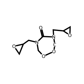 O=C1N(CC2CO2)COOCN1CC1CO1